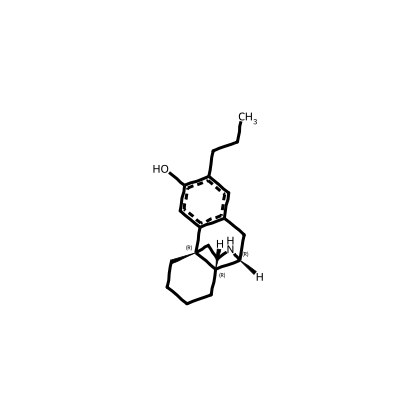 CCCc1cc2c(cc1O)[C@@]13CCCC[C@H]1[C@@H](C2)NCC3